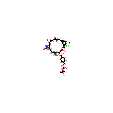 COc1cc2cc(c1Cl)N(C)C(=O)CC(OC(=O)C1CCC(CNC(=O)OC(C)(C)C)CC1)[C@@]1(C)OC1[C@H](C)C1CC(NC(=O)O1)C(OC)/C=C/C=C(\C)C2